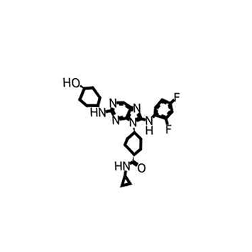 O=C(NC1CC1)[C@H]1CC[C@@H](n2c(Nc3ccc(F)cc3F)nc3cnc(N[C@H]4CC[C@H](O)CC4)nc32)CC1